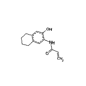 C=CC(=O)Nc1cc2c(cc1O)CCCC2